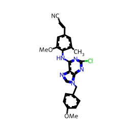 COc1ccc(Cn2cnc3c(Nc4c(C)cc(/C=C/C#N)cc4OC)nc(Cl)nc32)cc1